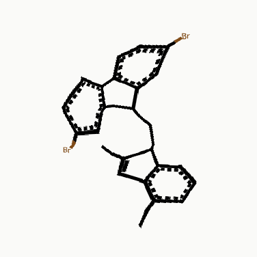 CC1=Cc2c(C)cccc2C1CC1c2cc(Br)ccc2-c2ccc(Br)cc21